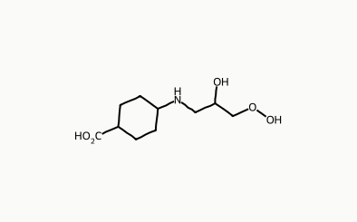 O=C(O)C1CCC(NCC(O)COO)CC1